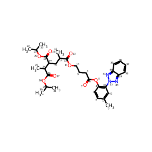 Cc1ccc(OC(=O)CCCOC(=O)C(C)CC(C(=O)OC(C)C)C(C)C(=O)OC(C)C)c(-n2nc3ccccc3n2)c1